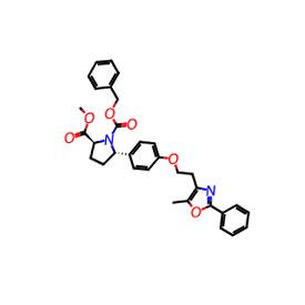 COC(=O)[C@@H]1CC[C@@H](c2ccc(OCCc3nc(-c4ccccc4)oc3C)cc2)N1C(=O)OCc1ccccc1